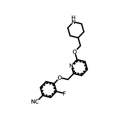 N#Cc1ccc(OCc2cccc(OCC3CCNCC3)n2)c(F)c1